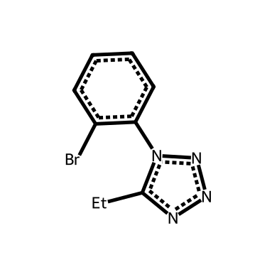 [CH2]Cc1nnnn1-c1ccccc1Br